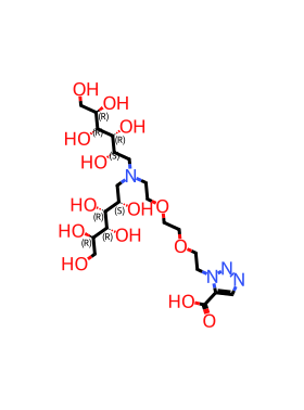 O=C(O)c1cnnn1CCOCCOCCN(C[C@H](O)[C@@H](O)[C@H](O)[C@H](O)CO)C[C@H](O)[C@@H](O)[C@H](O)[C@H](O)CO